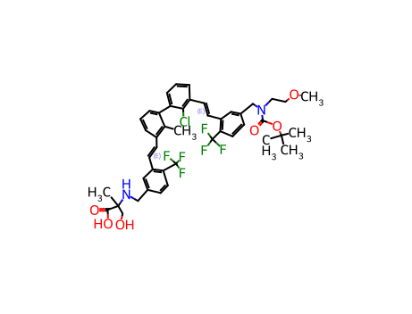 COCCN(Cc1ccc(C(F)(F)F)c(/C=C/c2cccc(-c3cccc(/C=C/c4cc(CNC(C)(CO)C(=O)O)ccc4C(F)(F)F)c3C)c2Cl)c1)C(=O)OC(C)(C)C